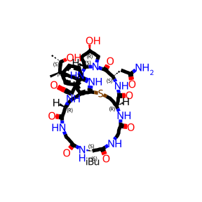 CC[C@H](C)[C@@H]1NC(=O)CNC(=O)[C@H]2Cc3c([nH]c4ccccc34)SC[C@H](NC(=O)CNC1=O)C(=O)N[C@@H](CC(N)=O)C(=O)N1C[C@H](O)C[C@H]1N[C@@H]([C@@H](C)[C@H](C)O)C(=O)N2